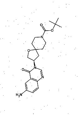 CC(C)(C)OC(=O)N1CCC2(CC1)C[C@@H](n1cnc3ccc(N)cc3c1=O)CO2